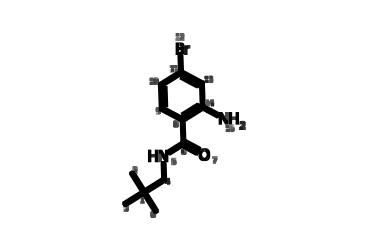 CC(C)(C)CNC(=O)c1ccc(Br)cc1N